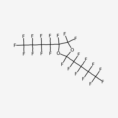 FC(F)(F)C(F)(F)C(F)(F)C(F)(F)C1(F)OC(F)(F)C(F)(C(F)(F)C(F)(F)C(F)(F)C(F)(F)F)O1